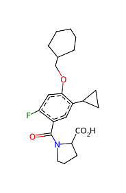 O=C(O)C1CCCN1C(=O)c1cc(C2CC2)c(OCC2CCCCC2)cc1F